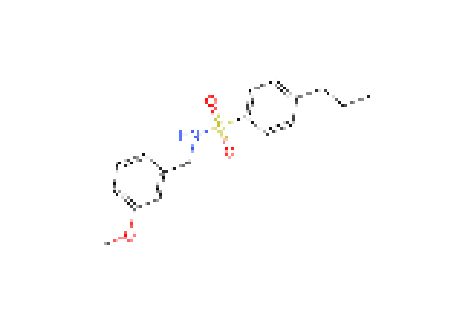 CCCc1ccc(S(=O)(=O)NCc2cccc(OC)c2)cc1